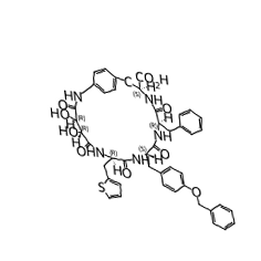 O=C(O)[C@@H]1Cc2ccc(cc2)NC(=O)[C@H](O)[C@@H](O)C(=O)N[C@H](Cc2cccs2)C(=O)N[C@@H](Cc2ccc(OCc3ccccc3)cc2)C(=O)N[C@H](Cc2ccccc2)C(=O)N1